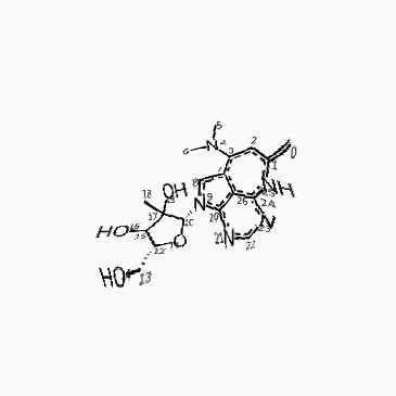 C=c1cc(N(C)C)c2cn([C@@H]3O[C@H](CO)[C@@H](O)C3(C)O)c3ncnc([nH]1)c23